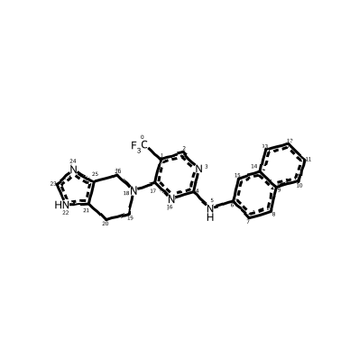 FC(F)(F)c1cnc(Nc2ccc3ccccc3c2)nc1N1CCc2[nH]cnc2C1